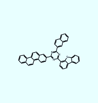 c1ccc2cc(-c3nc(-c4ccc5c(ccc6c7ccccc7ccc56)c4)nc(-c4cccc5c4sc4ccccc45)n3)ccc2c1